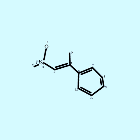 CC(=C[SiH](C)[O])c1ccccc1